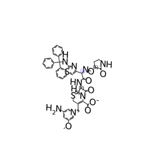 COc1cc(N)c[n+](CC2=C(C(=O)[O-])N3C(=O)[C@@H](NC(=O)/C(=N\O[C@H]4CCNC4=O)c4csc(NC(c5ccccc5)(c5ccccc5)c5ccccc5)n4)[C@@H]3SC2)c1